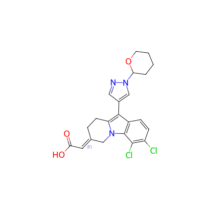 O=C(O)/C=C1\CCc2c(-c3cnn(C4CCCCO4)c3)c3ccc(Cl)c(Cl)c3n2C1